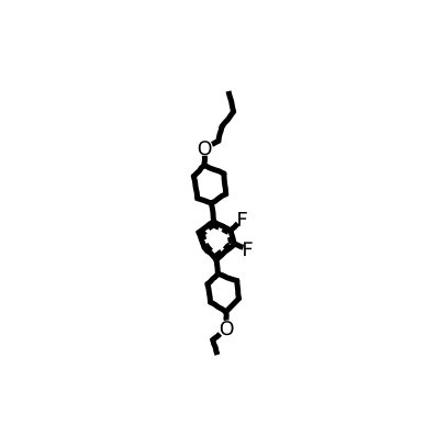 CCCCOC1CCC(c2ccc(C3CCC(OCC)CC3)c(F)c2F)CC1